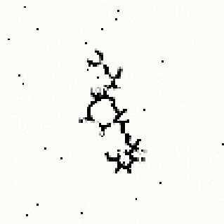 CCC(O)C(C)C(C)C(O)CC(C)(O)/C=C/C=C(\C)C1OC(=O)CC(O)CCC(C)(O)C(OC(=O)N(CC)CCN(CC)CC)/C=C/C1C